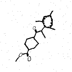 COC(=O)C1CCC(C(=O)C(C)c2c(C)cc(C)cc2C)CC1